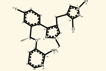 CCn1cc(Cc2cn(C)nc2-c2ccc(F)cc2[C@@H](C)Oc2cccnc2N)c(Cl)n1